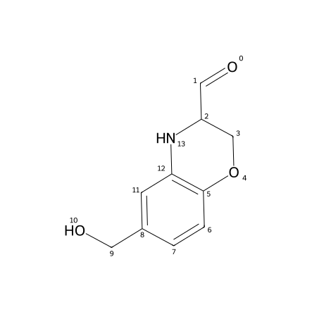 O=CC1COc2ccc(CO)cc2N1